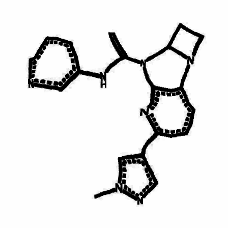 C=C(Nc1cccnc1)N1c2nc(-c3cnn(C)c3)ccc2N2CCC21